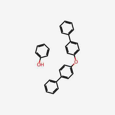 Oc1ccccc1.c1ccc(-c2ccc(Oc3ccc(-c4ccccc4)cc3)cc2)cc1